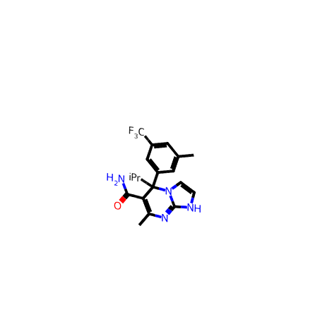 CC1=C(C(N)=O)C(c2cc(C)cc(C(F)(F)F)c2)(C(C)C)N2C=CNC2=N1